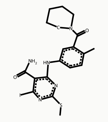 CSc1nc(I)c(C(N)=O)c(Nc2ccc(C)c(C(=O)N3CCCCC3)c2)n1